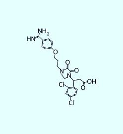 N=C(N)c1ccc(OCCCN2CCN(C(CC(=O)O)c3ccc(Cl)cc3Cl)C(=O)C2=O)cc1